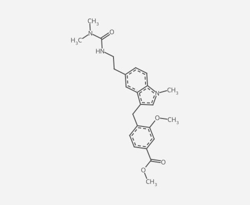 COC(=O)c1ccc(Cc2cn(C)c3ccc(CCNC(=O)N(C)C)cc23)c(OC)c1